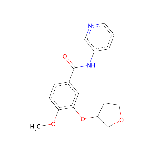 COc1ccc(C(=O)Nc2cccnc2)cc1OC1CCOC1